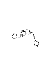 Ic1ccc(C#CCN2CCC3=C(CN(Cc4ccccc4)C=N3)C2)cc1